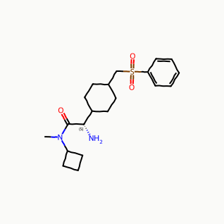 CN(C(=O)[C@@H](N)C1CCC(CS(=O)(=O)c2ccccc2)CC1)C1CCC1